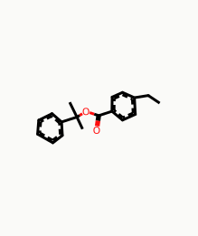 CCc1ccc(C(=O)OC(C)(C)c2ccccc2)cc1